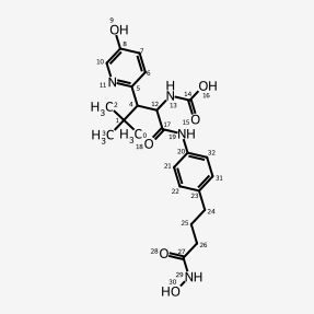 CC(C)(C)C(c1ccc(O)cn1)C(NC(=O)O)C(=O)Nc1ccc(CCCC(=O)NO)cc1